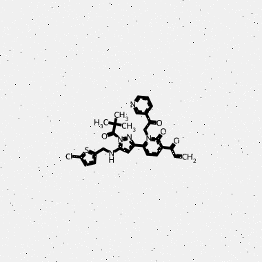 C=CC(=O)c1ccc(-c2cc(NCc3ccc(Cl)s3)n(C(=O)C(C)(C)C)n2)n(CC(=O)c2cccnc2)c1=O